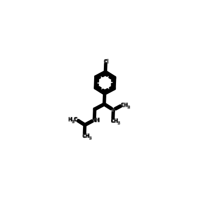 CC(C)NCC(c1ccc(Cl)cc1)N(C)C